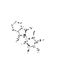 O=C1C2CCCCC2C(=O)N1c1c(F)c(F)c(Br)c(F)c1F